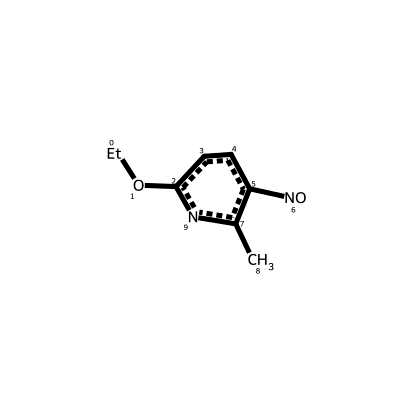 CCOc1ccc(N=O)c(C)n1